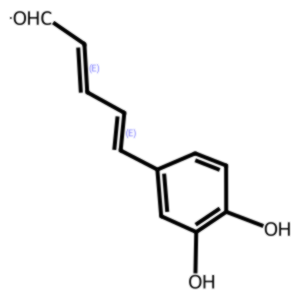 O=[C]/C=C/C=C/c1ccc(O)c(O)c1